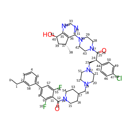 CCc1cccc(-c2cc(F)c(C(=O)N3CCC(CN4CCN(C[C@@H](C(=O)N5CCN(c6ncnc7c6[C@H](C)C[C@H]7O)CC5)c5ccc(Cl)cc5)CC4)CC3)c(F)c2)c1